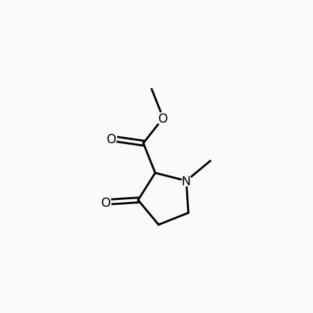 COC(=O)C1C(=O)CCN1C